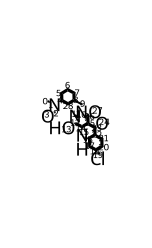 CN(C=O)c1cccc(Cn2nc(O)c3[nH]c4cc(Cl)ccc4c(=O)c3c2=O)c1